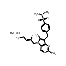 Cc1ncc2c(n1)c(Cc1ccc(S(=O)(=O)N(C)C)cc1)c(C)n2C/C(F)=C/CN.Cl.Cl